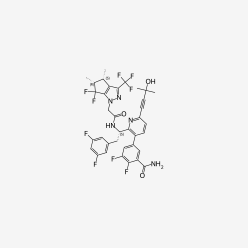 C[C@@H]1c2c(C(F)(F)F)nn(CC(=O)N[C@@H](Cc3cc(F)cc(F)c3)c3nc(C#CC(C)(C)O)ccc3-c3cc(F)c(F)c(C(N)=O)c3)c2C(F)(F)[C@@H]1C